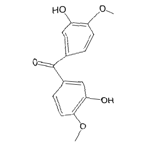 COc1ccc(C(=O)c2ccc(OC)c(O)c2)cc1O